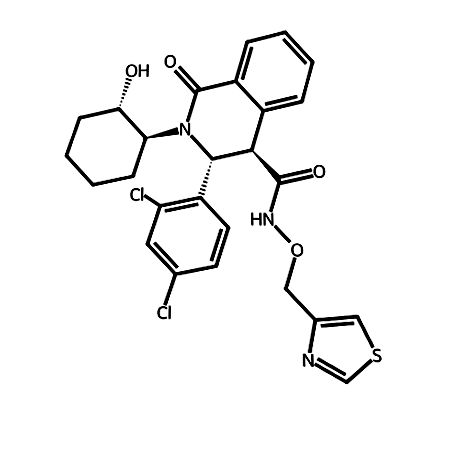 O=C(NOCc1cscn1)[C@@H]1c2ccccc2C(=O)N([C@H]2CCCC[C@@H]2O)[C@H]1c1ccc(Cl)cc1Cl